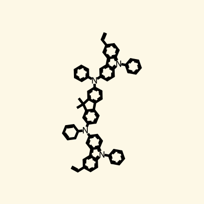 C=Cc1ccc2c(c1)c1cc(N(c3ccccc3)c3ccc4c(c3)C(C)(C)c3cc(N(c5ccc6c(c5)c5cc(C=C)ccc5n6-c5ccccc5)C5C=CC=CC5)ccc3-4)ccc1n2-c1ccccc1